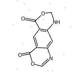 O=C1OCNc2cc3ncoc(=O)c3cc21